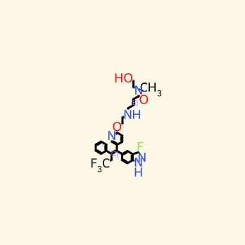 CN(CCO)C(=O)/C=C/CNCCOc1ccc(/C(=C(/CC(F)(F)F)c2ccccc2)c2ccc3[nH]nc(F)c3c2)cn1